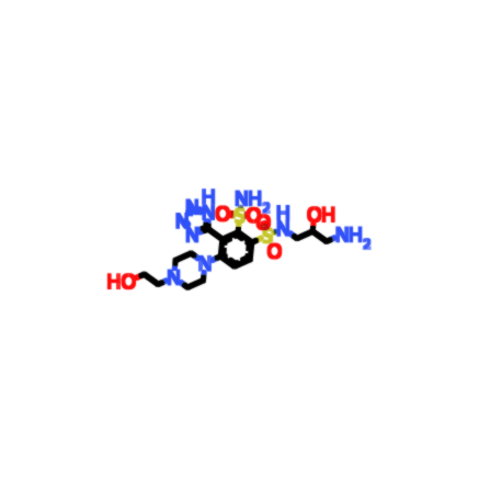 NCC(O)CNS(=O)(=O)c1ccc(N2CCN(CCO)CC2)c(-c2nnn[nH]2)c1S(N)(=O)=O